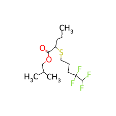 CCCC(SCCCC(F)(F)C(F)F)C(=O)OCC(C)C